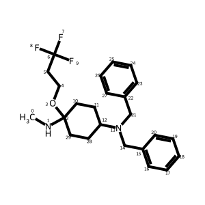 CNC1(OCCC(F)(F)F)CCC(N(Cc2ccccc2)Cc2ccccc2)CC1